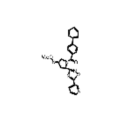 CON=C1CC(c2noc(-c3cccnc3)n2)N(C(=O)c2ccc(-c3ccccc3)cc2)C1